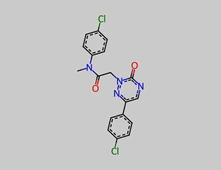 CN(C(=O)Cn1nc(-c2ccc(Cl)cc2)cnc1=O)c1ccc(Cl)cc1